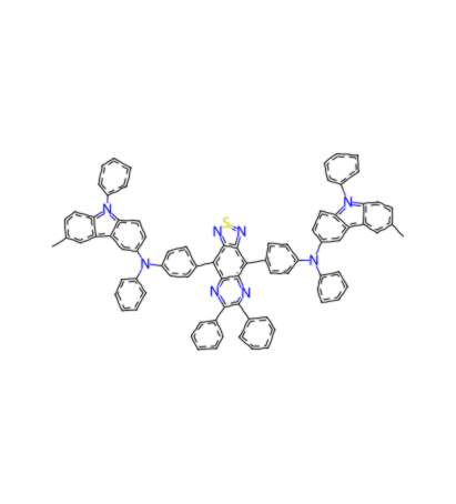 Cc1ccc2c(c1)c1cc(N(c3ccccc3)c3ccc(-c4c5nsnc5c(-c5ccc(N(c6ccccc6)c6ccc7c(c6)c6cc(C)ccc6n7-c6ccccc6)cc5)c5nc(-c6ccccc6)c(-c6ccccc6)nc45)cc3)ccc1n2-c1ccccc1